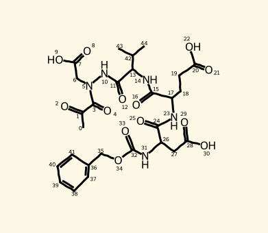 CC(=O)C(=O)N(CC(=O)O)NC(=O)C(NC(=O)C(CCC(=O)O)NC(=O)C(CC(=O)O)NC(=O)OCc1ccccc1)C(C)C